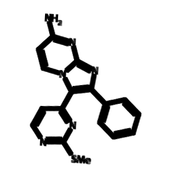 CSc1nccc(-c2c(-c3ccccc3)nc3nc(N)ccn23)n1